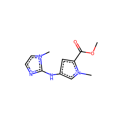 COC(=O)c1cc(Nc2nccn2C)cn1C